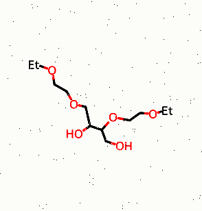 CCOCCOCC(O)C(CO)OCCOCC